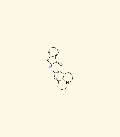 O=C1/C(=C\c2cc3c4c(c2)CCCN4CCC3)Sc2ccccc21